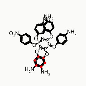 Nc1ccc(ON2P(Oc3ccc(N)cc3)N=P(Oc3ccc([N+](=O)[O-])cc3)(Oc3ccc([N+](=O)[O-])cc3)N(Oc3ccc(N)cc3)P2Oc2ccc(N)cc2)cc1